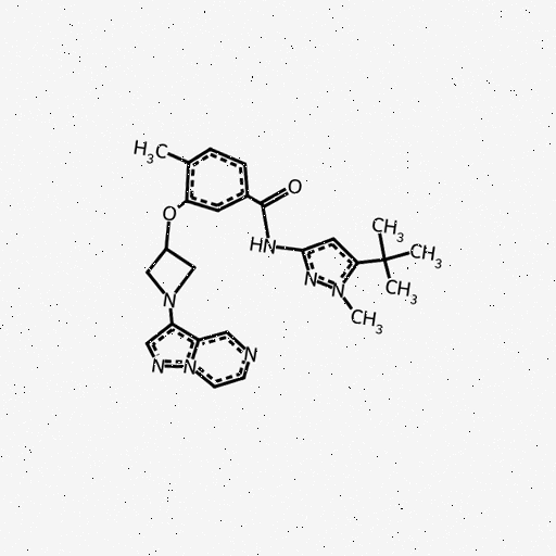 Cc1ccc(C(=O)Nc2cc(C(C)(C)C)n(C)n2)cc1OC1CN(c2cnn3ccncc23)C1